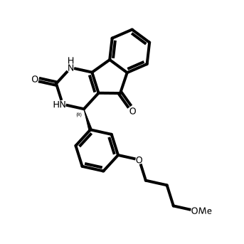 COCCCOc1cccc([C@H]2NC(=O)NC3=C2C(=O)c2ccccc23)c1